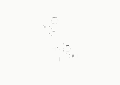 CC(C)c1ccccc1NC(=O)N[C@H]1CC[C@@H](Nc2nc3c(c(N(C)C)n2)CCCC3)CC1